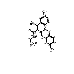 N#Cc1ccc2c(c1)c(O)c(C(=O)NCC(=O)O)c(=O)n2Cc1ccc(C(F)(F)F)cc1